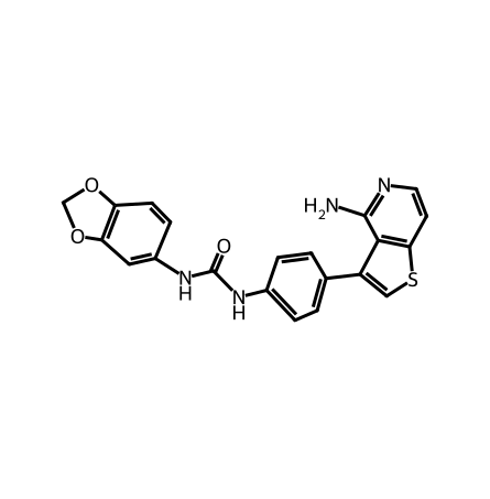 Nc1nccc2scc(-c3ccc(NC(=O)Nc4ccc5c(c4)OCO5)cc3)c12